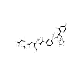 Cc1cn(C2CC(n3nnc(-c4cccc(N5COC(Cn6cncn6)(c6ccc(F)cc6F)C5)c4)c3I)C(CO)O2)c(=O)[nH]c1=O